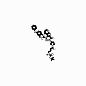 Cc1cc(Oc2ccccc2)ccc1N1C(=O)Nc2c(C(=O)NC3CCN(C(=O)C=CCN(C)C(=O)OC(C)(C)C)C3)sc3nccc1c23